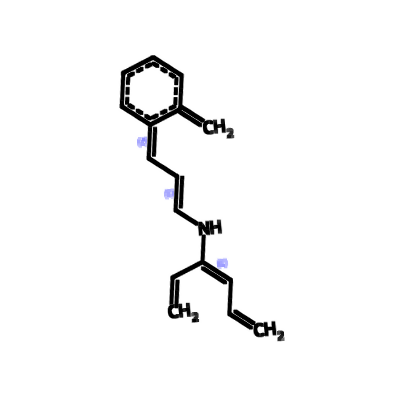 C=C/C=C(\C=C)N/C=C/C=c1/ccccc1=C